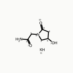 NC(=O)CN1CC(O)CC1=O.[KH]